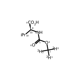 [2H]C([2H])([2H])OC(=O)N[C@H](C(=O)O)C(C)C